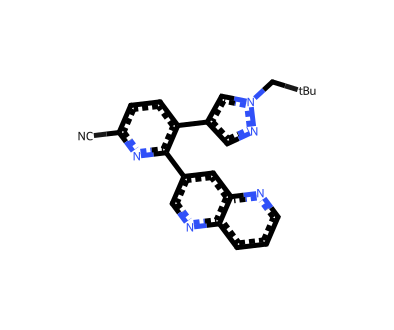 CC(C)(C)Cn1cc(-c2ccc(C#N)nc2-c2cnc3cccnc3c2)cn1